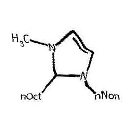 CCCCCCCCCN1C=CN(C)C1CCCCCCCC